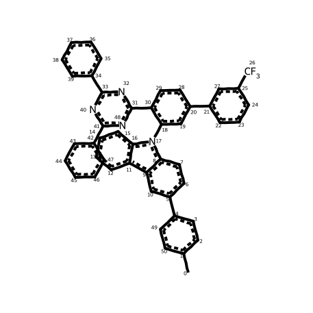 Cc1ccc(-c2ccc3c(c2)c2ccccc2n3-c2cc(-c3cccc(C(F)(F)F)c3)ccc2-c2nc(-c3ccccc3)nc(-c3ccccc3)n2)cc1